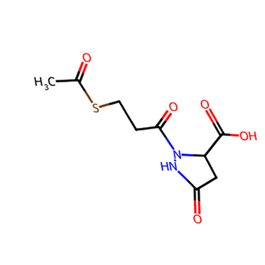 CC(=O)SCCC(=O)N1NC(=O)CC1C(=O)O